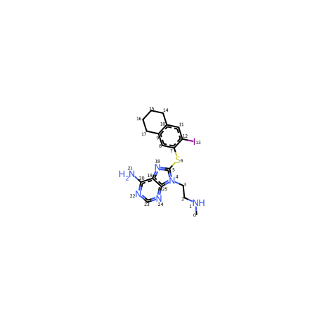 CNCCn1c(Sc2cc3c(cc2I)CCCC3)nc2c(N)ncnc21